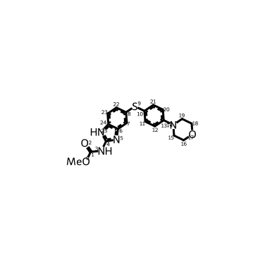 COC(=O)Nc1nc2cc(Sc3ccc(N4CCOCC4)cc3)ccc2[nH]1